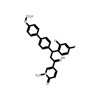 Cn1cc(/C(CC(c2ccc(-c3ccc(OC(=O)O)cc3)cc2)c2ccc(F)cc2Cl)=N/O)ccc1=O